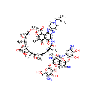 CN[C@@H]1[C@@H](O[C@H]2O[C@H](CO)[C@@H](N)[C@H](O)[C@H]2O)O[C@H]2C[C@@H](N)[C@@H](O[C@H]3[C@H](O)[C@@H](O)[C@H](N)C[C@@H]3N)O[C@@H]2[C@@H]1O.CO[C@@H]1/C=C\O[C@@]2(C)Oc3c(C)c(O)c4c(c3C2=O)C2=NC3(CCN(CC(C)C)CC3)NC2=C(NC(=O)/C(C)=C\C=C/[C@@H](C)[C@@H](O)[C@H](C)[C@H](O)[C@H](C)[C@H](OC(C)=O)[C@@H]1C)C4=O